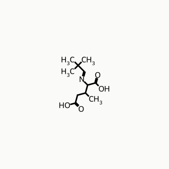 CC(CC(=O)O)C(/N=C/C(C)(C)C)C(=O)O